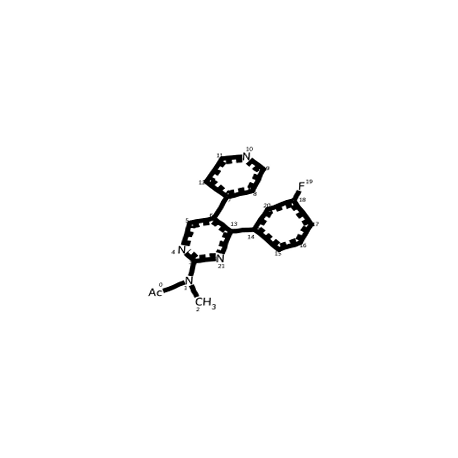 CC(=O)N(C)c1ncc(-c2ccncc2)c(-c2cccc(F)c2)n1